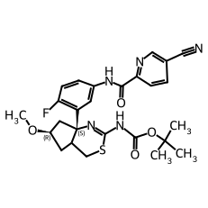 CO[C@@H]1CC2CSC(NC(=O)OC(C)(C)C)=N[C@@]2(c2cc(NC(=O)c3ccc(C#N)cn3)ccc2F)C1